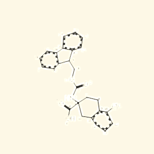 O=C(NC1(C(=O)O)CCc2c(Cl)cccc2C1)OCC1c2ccccc2-c2ccccc21